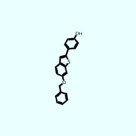 Oc1ccc(-c2cc3ccc(OCc4ccccc4)cc3s2)cc1